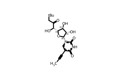 CC#Cc1cn([C@@H]2O[C@H](C(O)C(=O)CC(C)(C)C)[C@@H](O)[C@@H]2O)c(=O)[nH]c1=O